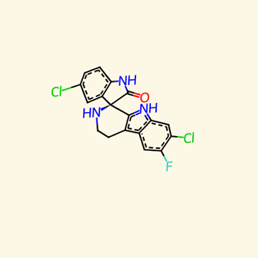 O=C1Nc2ccc(Cl)cc2[C@]12NCCc1c2[nH]c2cc(Cl)c(F)cc12